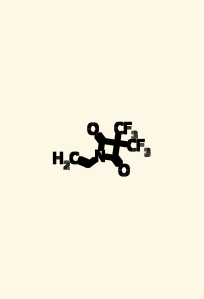 C=CN1C(=O)C(C(F)(F)F)(C(F)(F)F)C1=O